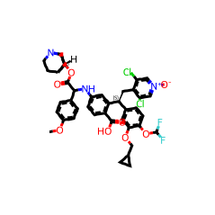 COc1ccc(C(Nc2ccc(C(=O)O)c([C@@H](Cc3c(Cl)c[n+]([O-])cc3Cl)c3ccc(OC(F)F)c(OCC4CC4)c3)c2)C(=O)O[C@H]2CN3CCC2CC3)cc1